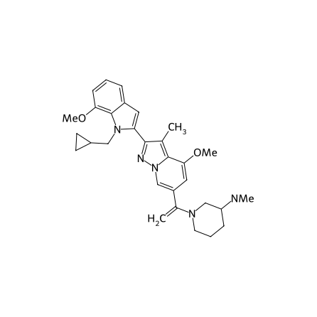 C=C(c1cc(OC)c2c(C)c(-c3cc4cccc(OC)c4n3CC3CC3)nn2c1)N1CCCC(NC)C1